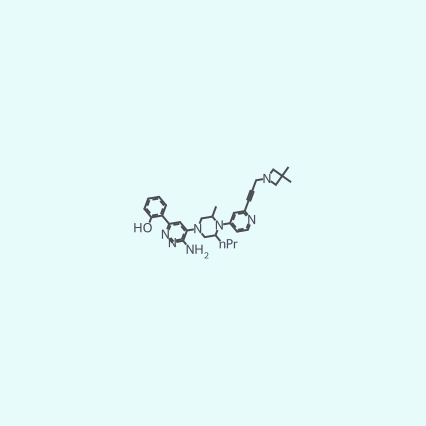 CCCC1CN(c2cc(-c3ccccc3O)nnc2N)CC(C)N1c1ccnc(C#CCN2CC(C)(C)C2)c1